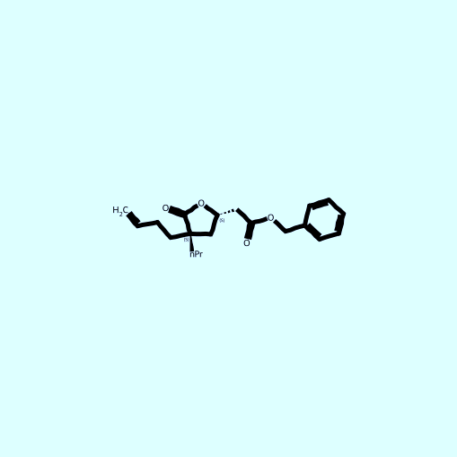 C=CCC[C@@]1(CCC)C[C@@H](CC(=O)OCc2ccccc2)OC1=O